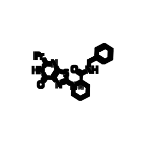 CC(C)c1nc2sc(N3CCCC[C@@H]3C(=O)NCc3ccccc3)nc2c(=O)[nH]1